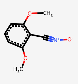 COc1cccc(OC)c1C#[N+][O-]